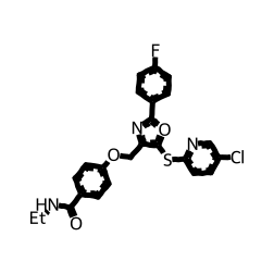 CCNC(=O)c1ccc(OCc2nc(-c3ccc(F)cc3)oc2Sc2ccc(Cl)cn2)cc1